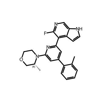 Cc1ccccc1-c1cc(-c2c(F)ncc3[nH]ccc23)nc(N2CCOC[C@H]2C)c1